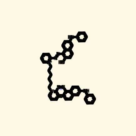 Oc1ccc2cc(Nc3ccccc3)ccc2c1N=Nc1cccc[n+]1CCCCCC[n+]1ccccc1/N=N\c1c(O)ccc2cc(Nc3ccccc3)ccc12